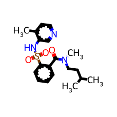 Cc1ccncc1NS(=O)(=O)c1ccccc1C(=O)N(C)CCC(C)C